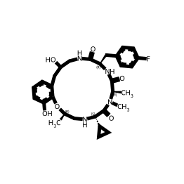 C[C@@H]1CN[C@@H](C2CC2)C(=O)N(C)[C@H](C)C(=O)N[C@H](Cc2ccc(F)cc2)C(=O)NCC(O)Cc2cccc(O)c2O1